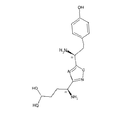 N[C@@H](CCC(O)O)c1noc([C@@H](N)Cc2ccc(O)cc2)n1